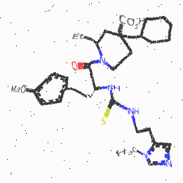 CCC1CC(C(=O)O)(C2CCCCC2)CCN1C(=O)[C@@H](Cc1ccc(OC)cc1)NC(=S)NCCc1cncn1C